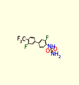 NS(=O)(=O)Nc1ccc(-c2ccc(C(F)(F)F)c(F)c2)cc1F